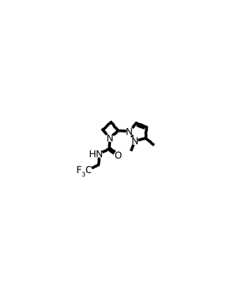 CC1C=CN(C2CCN2C(=O)NCC(F)(F)F)N1C